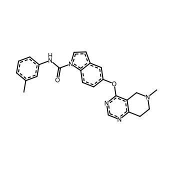 Cc1cccc(NC(=O)n2ccc3cc(Oc4ncnc5c4CN(C)CC5)ccc32)c1